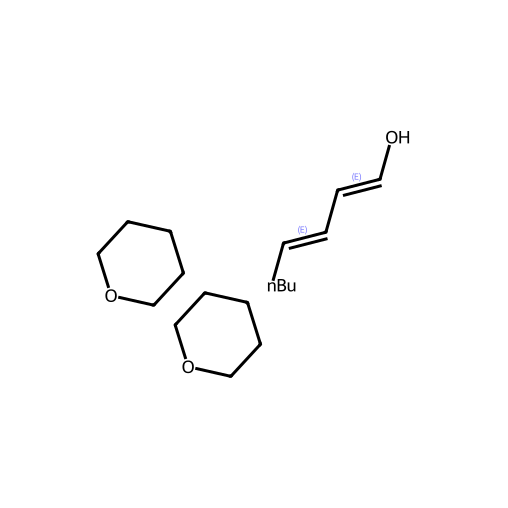 C1CCOCC1.C1CCOCC1.CCCC/C=C/C=C/O